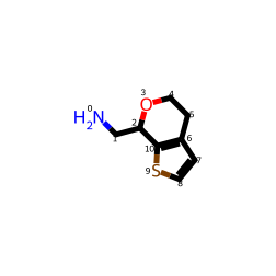 NCC1OCCc2ccsc21